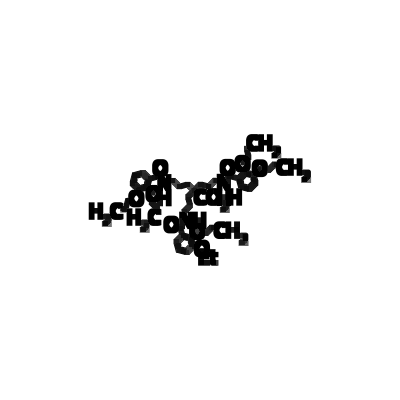 C=CCOc1cccc(C(=O)NCCCC(CCCNC(=O)c2cccc(OCC)c2OCC=C)(CCCNC(=O)c2cccc(OCC=C)c2OCC=C)C(=O)O)c1OCC=C